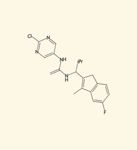 C=C(Nc1cnc(Cl)nc1)NC(C1=C(C)c2cc(F)ccc2C1)C(C)C